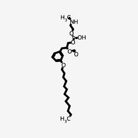 CCCCCCCCCCCCCOc1cccc(CC(COP(O)OCCNC)OC=O)c1